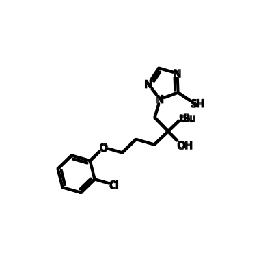 CC(C)(C)C(O)(CCCOc1ccccc1Cl)Cn1ncnc1S